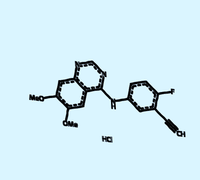 C#Cc1cc(Nc2ncnc3cc(OC)c(OC)cc23)ccc1F.Cl